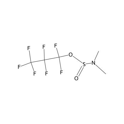 CN(C)S(=O)OC(F)(F)C(F)(F)C(F)(F)F